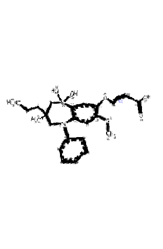 CCC[C@@]1(C)CN(c2ccccc2)c2cc(SC)c(O/C=C/C(=O)O)cc2S(O)(O)C1